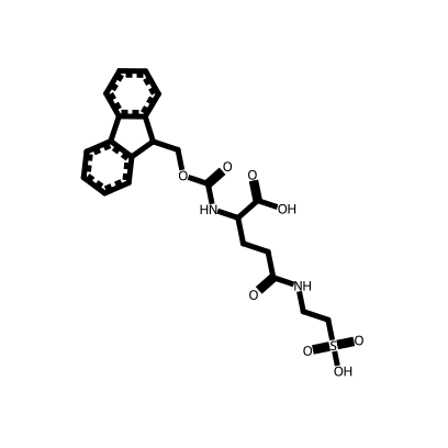 O=C(CCC(NC(=O)OCC1c2ccccc2-c2ccccc21)C(=O)O)NCCS(=O)(=O)O